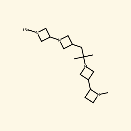 CN1CCC1C1CN(C(C)(C)CC2CN(C3CN(C(C)(C)C)C3)C2)C1